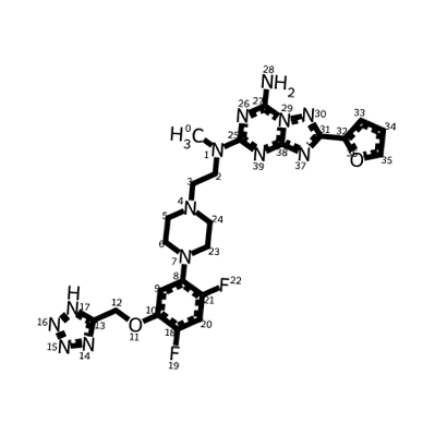 CN(CCN1CCN(c2cc(OCc3nnn[nH]3)c(F)cc2F)CC1)c1nc(N)n2nc(-c3ccco3)nc2n1